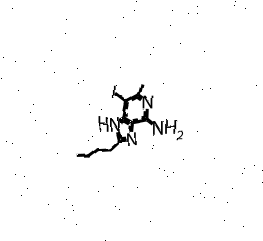 CCCCc1nc2c(N)nc(C)c(I)c2[nH]1